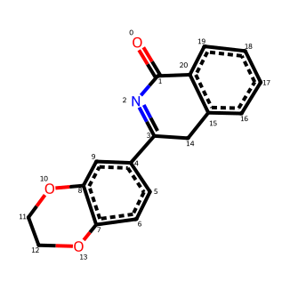 O=C1N=C(c2ccc3c(c2)OCCO3)Cc2ccccc21